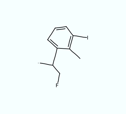 [CH2]C(CF)c1cccc(I)c1C